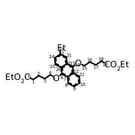 CCOC(=O)CCCCOc1c2ccccc2c(OCCCCC(=O)OCC)c2cc(CC)ccc12